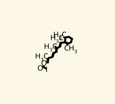 CC1=C(/C=C/C(C)=C/C=C/C(C)=C/OC(=O)I)C(C)(C)CCC1